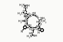 C=C(N)[C@@H]1CCCNC(=O)CC[C@H](NC(=O)[C@H](CCCNC(=N)N)NC(C)=O)C(=O)N[C@@H](CCN)C(=O)N[C@H](Cc2cccc(C#N)c2)C(=O)N[C@@H](CCCNC(=N)N)C(=O)N[C@@H](Cc2c[nH]c3ccccc23)C(=O)N1